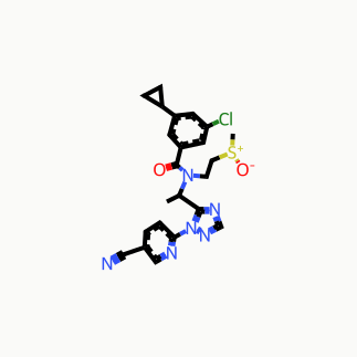 CC(c1ncnn1-c1ccc(C#N)cn1)N(CC[S+](C)[O-])C(=O)c1cc(Cl)cc(C2CC2)c1